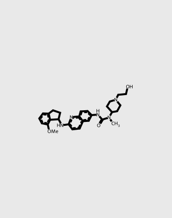 COc1cccc2c1C(Nc1ccc3cc(NC(=O)N(C)C4CCN(CCO)CC4)ccc3n1)CC2